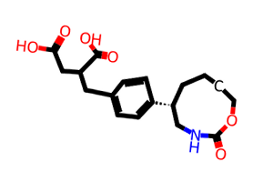 O=C(O)CC(Cc1ccc([C@@H]2CCCCOC(=O)NC2)cc1)C(=O)O